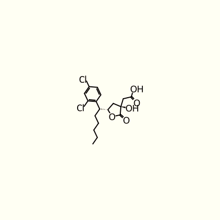 CCCCCC(c1ccc(Cl)cc1Cl)[C@@H]1C[C@](O)(CC(=O)O)C(=O)O1